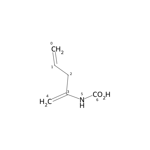 C=CCC(=C)NC(=O)O